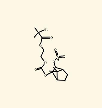 CCC(C)(C)C(=O)OCCOC(=O)OC1C(O[SH](=O)=O)C2CCC1C2(C)C